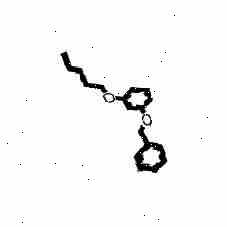 C=CCCCOc1cccc(OCc2ccccc2)c1